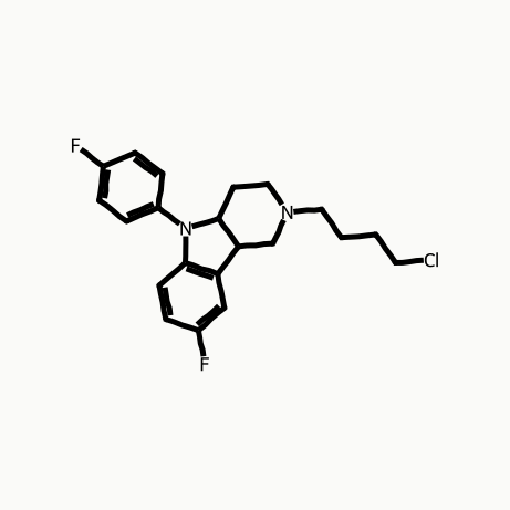 Fc1ccc(N2c3ccc(F)cc3C3CN(CCCCCl)CCC32)cc1